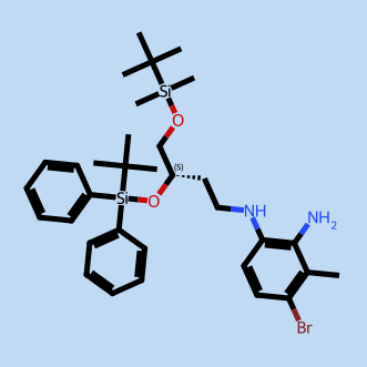 Cc1c(Br)ccc(NCC[C@@H](CO[Si](C)(C)C(C)(C)C)O[Si](c2ccccc2)(c2ccccc2)C(C)(C)C)c1N